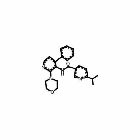 CC(C)c1ccc(C(=O)Nc2c(-c3ccccc3)ccnc2N2CCOCC2)cn1